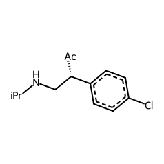 CC(=O)[C@@H](CNC(C)C)c1ccc(Cl)cc1